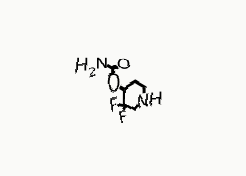 NC(=O)OC1CCNCC1(F)F